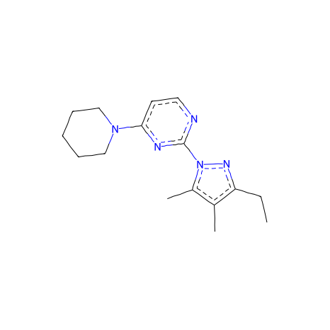 CCc1nn(-c2nccc(N3CCCCC3)n2)c(C)c1C